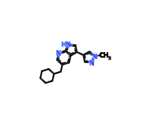 Cn1cc(-c2c[nH]c3ncc(CC4CCCCC4)cc23)cn1